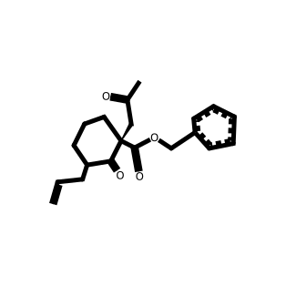 C=CCC1CCC[C@](CC(C)=O)(C(=O)OCc2ccccc2)C1=O